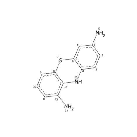 Nc1ccc2c(c1)Sc1cccc(N)c1N2